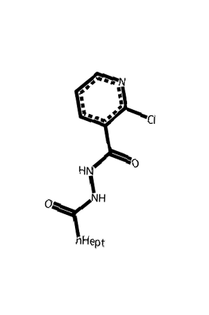 CCCCCCCC(=O)NNC(=O)c1cccnc1Cl